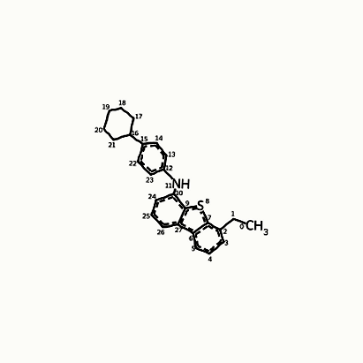 CCc1cccc2c1sc1c(Nc3ccc(C4CCCCC4)cc3)cccc12